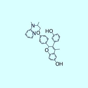 CC1=C(c2cccc(O)c2)C(c2ccc(OCC(C)N(C)c3ccccn3)cc2)Oc2ccc(O)cc21